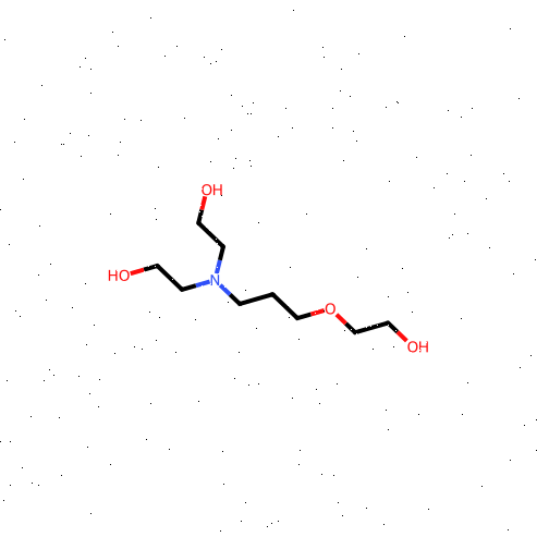 OCCOCCCN(CCO)CCO